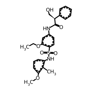 CCOc1cc(NC(=O)[C@@H](CO)c2ccccc2)ccc1S(=O)(=O)Nc1cccc(OC)c1C